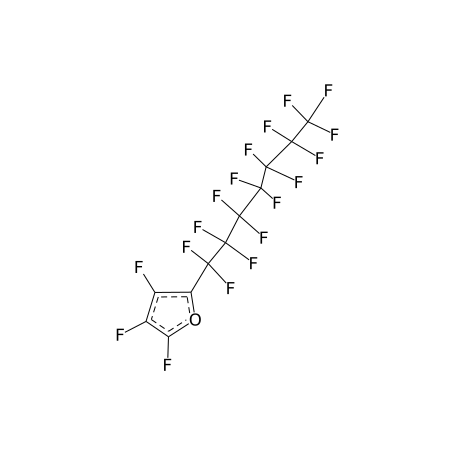 Fc1oc(C(F)(F)C(F)(F)C(F)(F)C(F)(F)C(F)(F)C(F)(F)C(F)(F)F)c(F)c1F